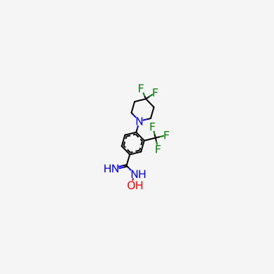 N=C(NO)c1ccc(N2CCC(F)(F)CC2)c(C(F)(F)F)c1